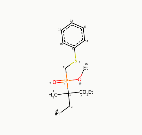 CCOC(=O)C(C)(CC(C)C)P(=O)(CSc1ccccc1)OCC